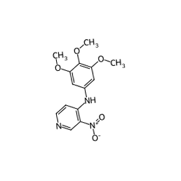 COc1cc(Nc2ccncc2[N+](=O)[O-])cc(OC)c1OC